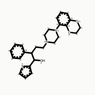 OC(c1cccs1)C(CCN1CCN(c2cccc3c2OCCO3)CC1)c1ccccc1